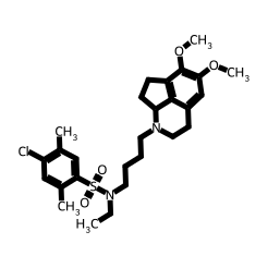 CCN(CCCCN1CCc2cc(OC)c(OC)c3c2C1CC3)S(=O)(=O)c1cc(C)c(Cl)cc1C